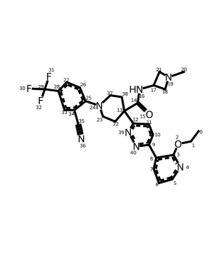 CCOc1ncccc1-c1ccc(C2(C(=O)NC3CN(C)C3)CCN(c3ccc(C(F)(F)F)cc3C#N)CC2)nn1